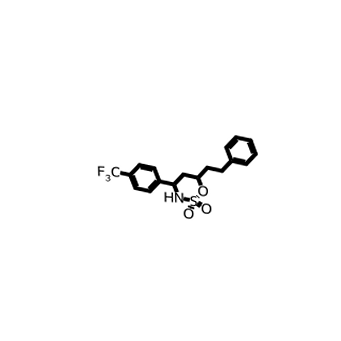 O=S1(=O)NC(c2ccc(C(F)(F)F)cc2)CC(CCc2ccccc2)O1